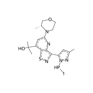 Cc1cc(-c2nsc3c(C(C)(C)O)cc(N4CCOC[C@H]4C)nc23)n(PI)n1